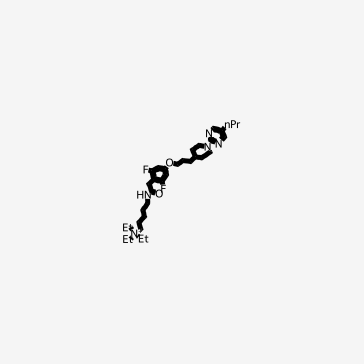 CCCc1cnc(N2CCC(CCCOc3cc(F)c(CC(=O)NCCCCC[N+](CC)(CC)CC)c(F)c3)CC2)nc1